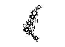 COCCN1CCc2ccc(Nc3ncc(Cl)c(Nc4ccccc4C(=O)NCCN4CCCC4)n3)cc2CC1